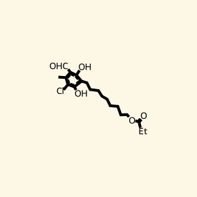 CCC(=O)OCCCCCCCCCc1c(O)c(Cl)c(C)c(C=O)c1O